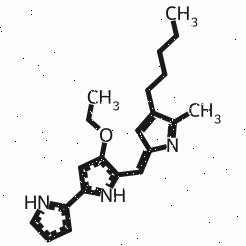 CCCCCC1=CC(=Cc2[nH]c(-c3ccc[nH]3)cc2OCC)N=C1C